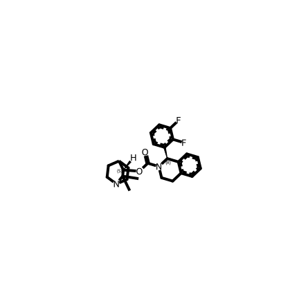 CC1(C)[C@@H](OC(=O)N2CCc3ccccc3[C@@H]2c2cccc(F)c2F)C2CCN1CC2